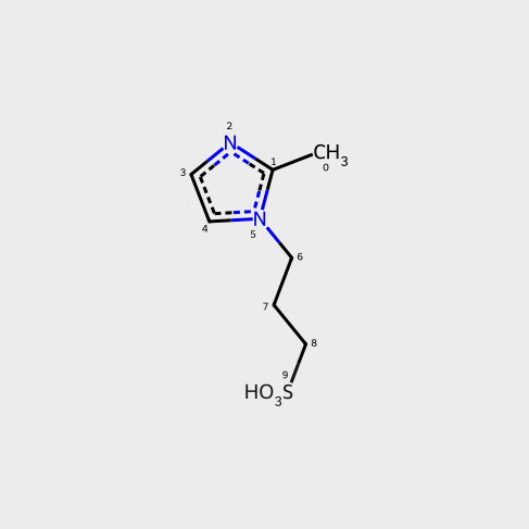 Cc1nccn1CCCS(=O)(=O)O